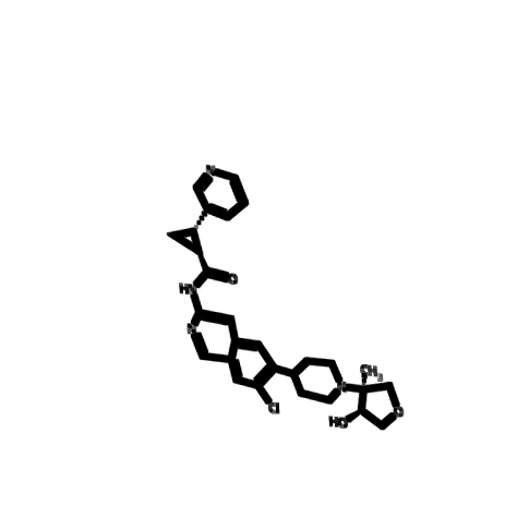 C[C@]1(N2CCC(c3cc4cc(NC(=O)[C@H]5C[C@@H]5c5cccnc5)ncc4cc3Cl)CC2)COC[C@H]1O